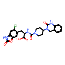 O=C(O)C(Cc1cc2oc(=O)[nH]c2cc1Cl)NC(=O)N1CCC(N2Cc3ccccc3NC2=O)CC1